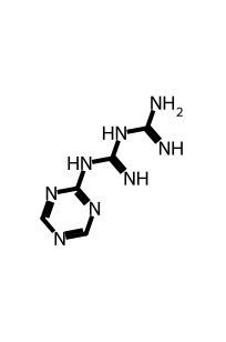 N=C(N)NC(=N)Nc1ncncn1